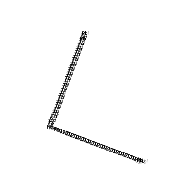 [Cu].[Cu].[Cu].[Cu].[Cu].[Cu].[Cu].[Cu].[Fe].[Fe].[Fe].[Fe].[Fe].[Fe].[Fe].[Fe].[Pb].[Pb].[Pb].[Pb].[Pb].[Pb].[Pb].[Pb].[Zn].[Zn].[Zn].[Zn].[Zn].[Zn].[Zn].[Zn].[Zn].[Zn].[Zn].[Zn].[Zn].[Zn].[Zn].[Zn].[Zn].[Zn].[Zn].[Zn].[Zn].[Zn].[Zn].[Zn].[Zn].[Zn].[Zn].[Zn].[Zn].[Zn].[Zn].[Zn].[Zn].[Zn].[Zn].[Zn].[Zn].[Zn].[Zn].[Zn].[Zn].[Zn].[Zn].[Zn].[Zn].[Zn].[Zn].[Zn].[Zn].[Zn].[Zn].[Zn].[Zn].[Zn].[Zn].[Zn].[Zn].[Zn].[Zn].[Zn].[Zn].[Zn].[Zn].[Zn].[Zn].[Zn].[Zn].[Zn].[Zn].[Zn].[Zn].[Zn].[Zn].[Zn].[Zn].[Zn].[Zn].[Zn].[Zn].[Zn].[Zn].[Zn].[Zn].[Zn].[Zn]